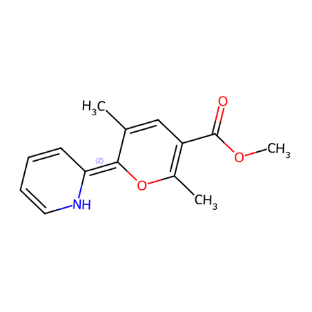 COC(=O)C1=C(C)O/C(=C2/C=CC=CN2)C(C)=C1